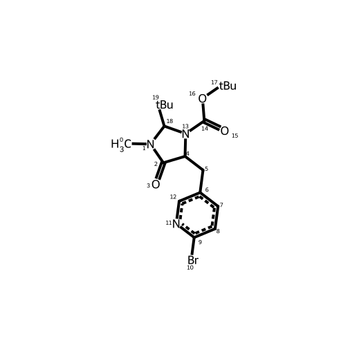 CN1C(=O)C(Cc2ccc(Br)nc2)N(C(=O)OC(C)(C)C)C1C(C)(C)C